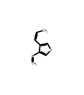 C=Nc1cocc1/C=C\C